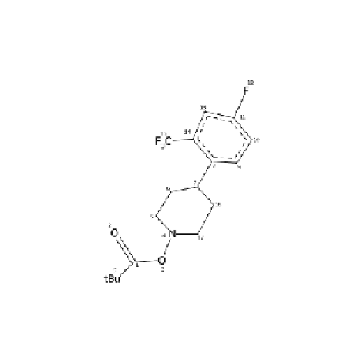 CC(C)(C)C(=O)ON1CCC(c2ccc(F)cc2C(F)(F)F)CC1